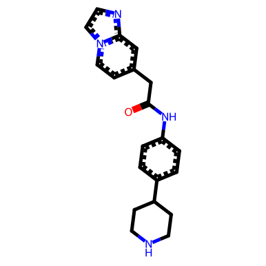 O=C(Cc1ccn2ccnc2c1)Nc1ccc(C2CCNCC2)cc1